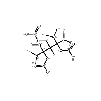 [CH2]C(CO[N+](=O)[O-])(C(OC)(O[N+](=O)[O-])N(F)F)C(O[N+](=O)[O-])(N(F)F)N(F)F